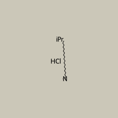 CC(C)CCCCCCCCCCCCCCCCCCCN(C)C.Cl